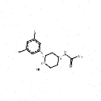 Cl.O=C(N[C@@H]1CCN[C@H](c2cc(F)cc(F)c2)C1)C(F)(F)F